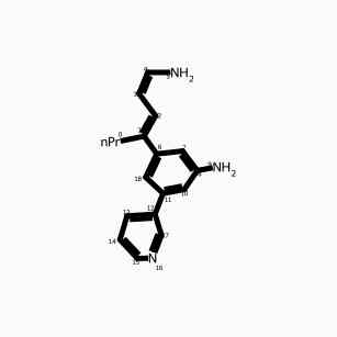 CCC/C(=C\C=C/N)c1cc(N)cc(-c2cccnc2)c1